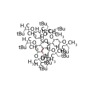 CC(C)(C)CC(C)(C)Oc1ccc([SiH](O[SiH](c2ccc(OC(C)(C)CC(C)(C)C)cc2OC(C)(C)CC(C)(C)C)c2ccc(OC(C)(C)CC(C)(C)C)cc2OC(C)(C)CC(C)(C)C)c2ccc(OC(C)(C)CC(C)(C)C)cc2OC(C)(C)CC(C)(C)C)c(OC(C)(C)CC(C)(C)C)c1